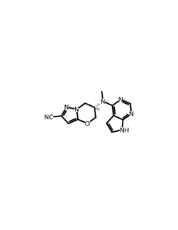 CN(c1ncnc2[nH]ccc12)[C@@H]1COc2cc(C#N)nn2C1